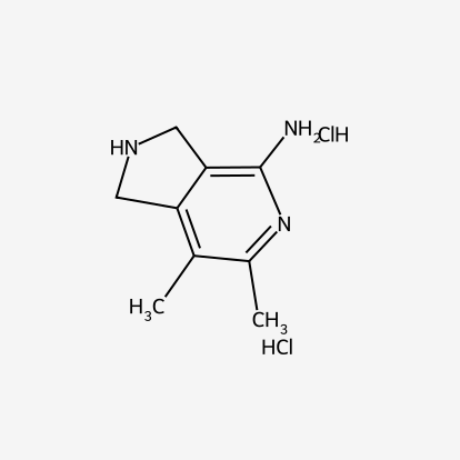 Cc1nc(N)c2c(c1C)CNC2.Cl.Cl